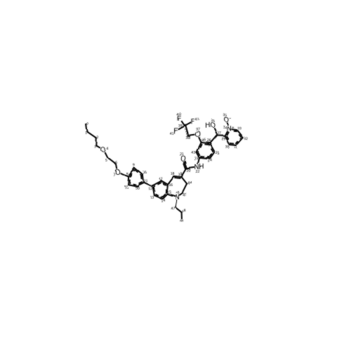 CCCCOCCOc1ccc(-c2ccc3c(c2)C=C(C(=O)Nc2ccc(C(O)c4cccc[n+]4[O-])c(OCC(F)(F)F)c2)CCN3CCC)cc1